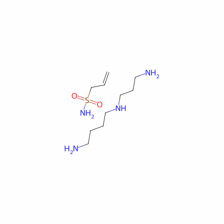 C=CCS(N)(=O)=O.NCCCCNCCCN